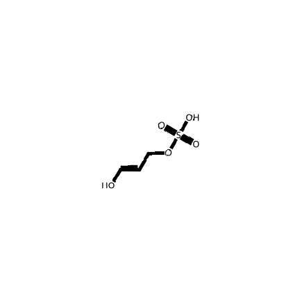 O=S(=O)(O)OCC=CO